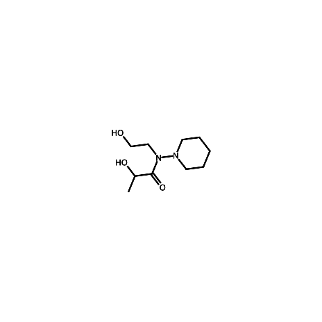 CC(O)C(=O)N(CCO)N1CCCCC1